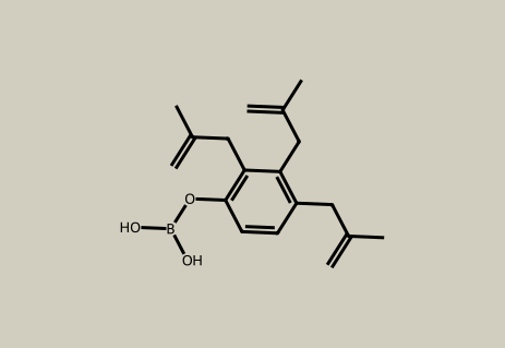 C=C(C)Cc1ccc(OB(O)O)c(CC(=C)C)c1CC(=C)C